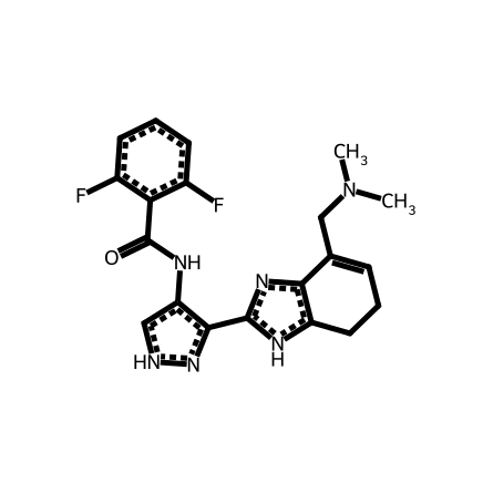 CN(C)CC1=CCCc2[nH]c(-c3n[nH]cc3NC(=O)c3c(F)cccc3F)nc21